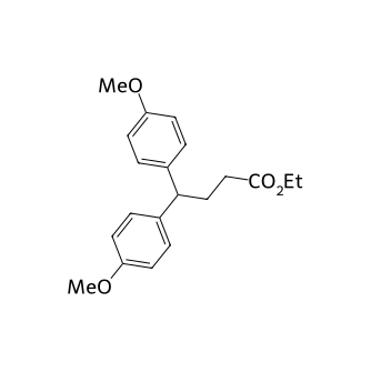 CCOC(=O)CCC(c1ccc(OC)cc1)c1ccc(OC)cc1